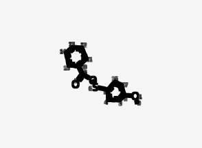 COc1ccc(SOC(=O)c2ccccc2)cc1